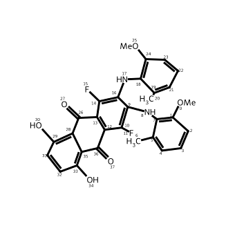 COc1cccc(C)c1Nc1c(F)c2c(c(F)c1Nc1c(C)cccc1OC)C(=O)c1c(O)ccc(O)c1C2=O